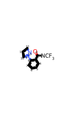 O=C(NC(F)(F)F)c1ccccc1-n1cccn1